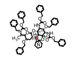 C[C@H]([C@H]1O[C@H](O[C@@H]2[C@@H](NC(=O)OCc3ccccc3)[C@H](OCc3ccccc3)[C@@H](NC(=O)OCc3ccccc3)[C@@H]3OC4(CCCCC4)O[C@@H]23)[C@H](N=[N+]=[N-])C[C@@H]1OCc1ccccc1)N(Cc1ccccc1)C(=O)OCc1ccccc1